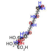 O=C(O)CC[C@H](NP(=O)(O)OC[C@H](NC(=O)c1ccc(CNC(=O)CCCCCNC(=O)CCCCCNC(=O)CCCCC2SCC3NC(=O)NC32)cc1)C(=O)O)C(=O)O